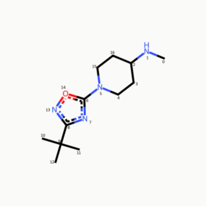 CNC1CCN(c2nc(C(C)(C)C)no2)CC1